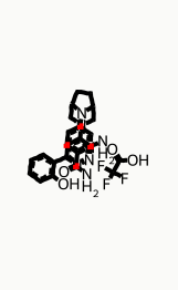 NC(=O)c1ccc(N2C3CCC2CN(c2cc(-c4ccccc4O)nnc2N)C3)cn1.O=C(O)C(F)(F)F